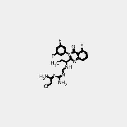 CCC(NC/N=C(N)\N=C(\N)CCl)c1nc2cccc(F)c2c(=O)n1-c1cc(F)cc(F)c1